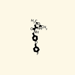 COCC(NC(C)=O)C(=O)NCc1ccc(OCc2ccc(F)cc2)cc1